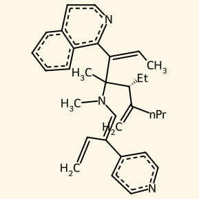 C=C/C(=C\N(C)C(C)(/C(=C\C)c1nccc2ccccc12)[C@H](CC)C(=C)CCC)c1ccncc1